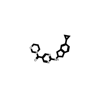 O=C(c1cnc(NC2Cc3ccc(C4CC4)cc3C2)nc1)N1CCCOC1